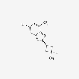 C[C@]1(O)C[C@@H](n2cc3cc(Br)cc(C(F)(F)F)c3n2)C1